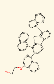 OCCOc1ccc(-c2ccc3c(c2-c2cccc4ccccc24)Cc2c-3cccc2-c2cccc3ccccc23)c2ccccc12